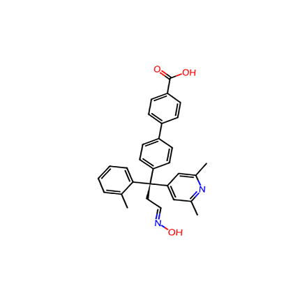 Cc1cc([C@@](CC=NO)(c2ccc(-c3ccc(C(=O)O)cc3)cc2)c2ccccc2C)cc(C)n1